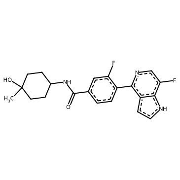 CC1(O)CCC(NC(=O)c2ccc(-c3ncc(F)c4[nH]ccc34)c(F)c2)CC1